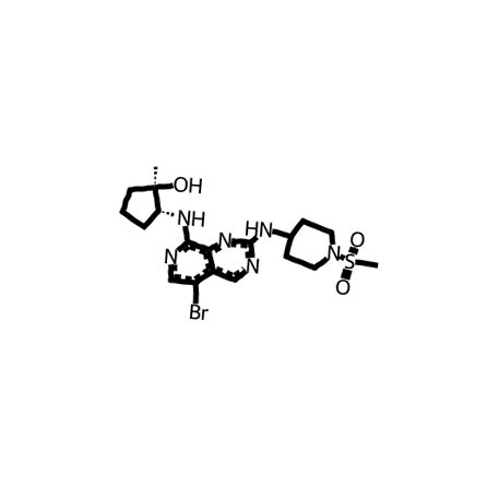 C[C@@]1(O)CCC[C@H]1Nc1ncc(Br)c2cnc(NC3CCN(S(C)(=O)=O)CC3)nc12